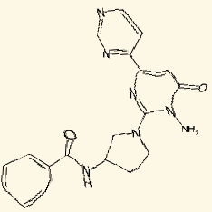 Nn1c(N2CCC(NC(=O)c3ccccc3)C2)nc(-c2ccncn2)cc1=O